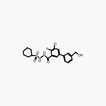 O=C(NNS(=O)(=O)C1CCCCC1)c1cc(-c2cccc(CO)c2)cc(Cl)c1F